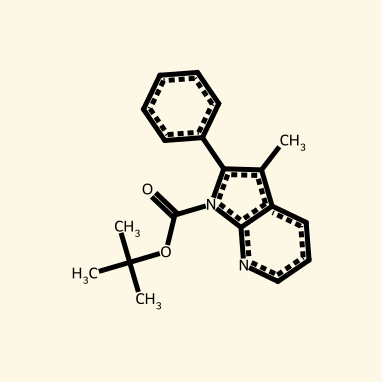 Cc1c(-c2ccccc2)n(C(=O)OC(C)(C)C)c2ncccc12